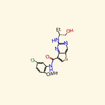 CCC(CO)Nc1ncc2scc(C(=O)Nc3cc(Cl)ccc3OC)c2n1